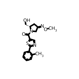 CO/N=C1/C[C@@H](CO)N(C(=O)c2cnc(-c3ccccc3C)s2)C1